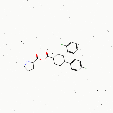 O=C(OC(=O)C1CCCN1)C1CCC(c2ccc(Cl)cc2)[C@H](c2ccccc2Cl)C1